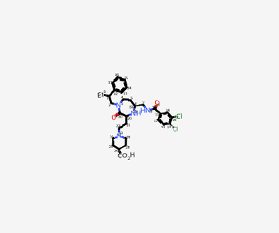 CCC(CN1CC[C@@H](CNC(=O)c2ccc(Cl)c(Cl)c2)NC(CCN2CCC(C(=O)O)CC2)C1=O)c1ccccc1